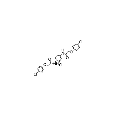 O=C(COc1ccc(Cl)cc1)Nc1ccc(NC(=O)COc2ccc(Cl)cc2)c(Cl)c1